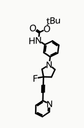 CC(C)(C)OC(=O)Nc1cccc(N2CCC(F)(C#Cc3ccccn3)C2)c1